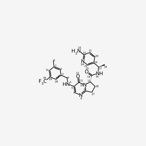 Cc1cc(CNc2cnc3n(c2=O)[C@H](C(=O)N[C@H](C)c2ccc(N)nc2)CC3)cc(C(F)(F)F)c1